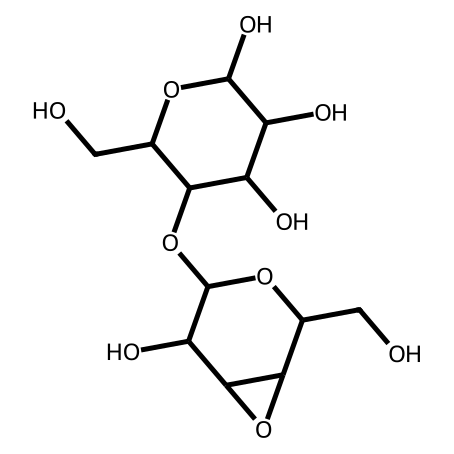 OCC1OC(O)C(O)C(O)C1OC1OC(CO)C2OC2C1O